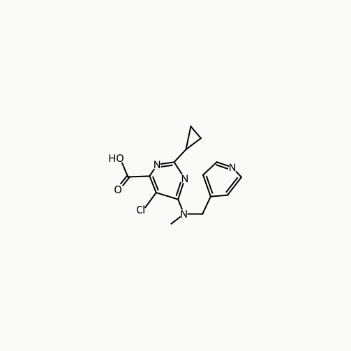 CN(Cc1ccncc1)c1nc(C2CC2)nc(C(=O)O)c1Cl